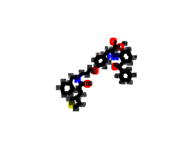 COC(=O)[C@H](Cc1ccc(OCCCN(Cc2ccccc2)C(=O)C=Cc2ccsc2)cc1)Nc1ccccc1C(=O)c1ccccc1